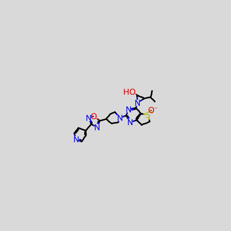 CC(C)C1[C@@H](O)N1c1nc(N2CCC(c3nc(-c4ccncc4)no3)CC2)nc2c1[S+]([O-])CC2